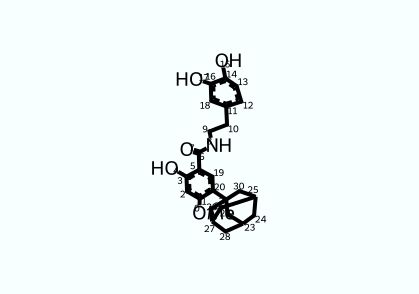 COc1cc(O)c(C(=O)NCCc2ccc(O)c(O)c2)cc1C12CC3CC(CC(C3)C1)C2